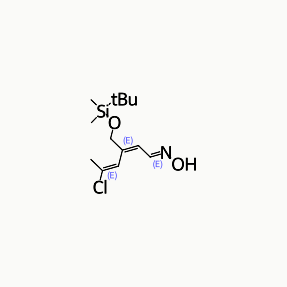 C\C(Cl)=C/C(=C\C=N\O)CO[Si](C)(C)C(C)(C)C